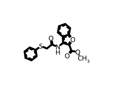 COC(=O)c1oc2ccccc2c1NC(=O)CSc1ccccc1